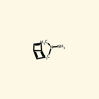 CN(C)N.c1cc2ccc1-2